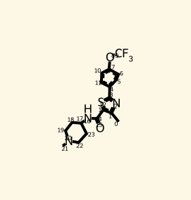 Cc1nc(-c2ccc(OC(F)(F)F)cc2)sc1C(=O)NC1CCN(C)CC1